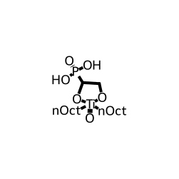 CCCCCCC[CH2][Ti]1(=[O])([CH2]CCCCCCC)[O]CC(P(=O)(O)O)[O]1